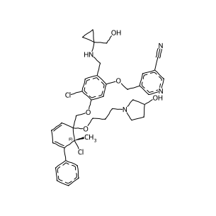 C[C@@]1(Cl)C(c2ccccc2)=CC=CC1(COc1cc(OCc2cncc(C#N)c2)c(CNC2(CO)CC2)cc1Cl)OCCCN1CCC(O)C1